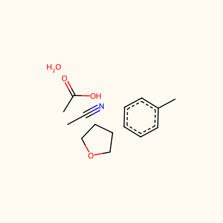 C1CCOC1.CC#N.CC(=O)O.Cc1ccccc1.O